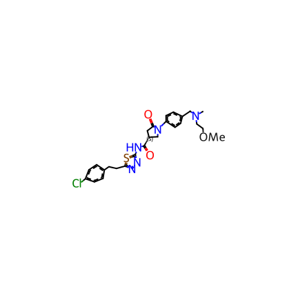 COCCN(C)Cc1ccc(N2C[C@@H](C(=O)Nc3nnc(CCc4ccc(Cl)cc4)s3)CC2=O)cc1